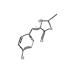 CCc1ccc(/C=C2/NC(C)OC2=O)cc1